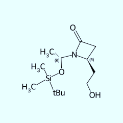 C[C@@H](O[Si](C)(C)C(C)(C)C)N1C(=O)C[C@H]1CCO